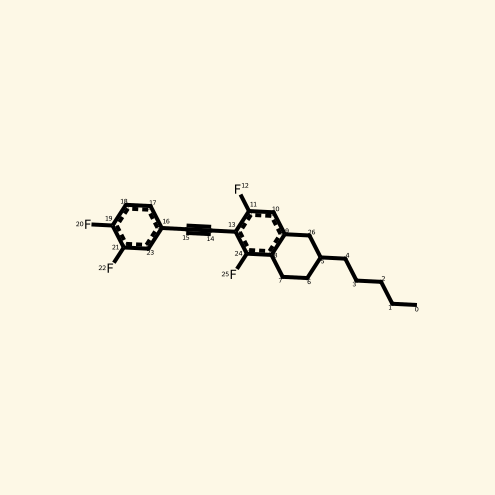 CCCCCC1CCc2c(cc(F)c(C#Cc3ccc(F)c(F)c3)c2F)C1